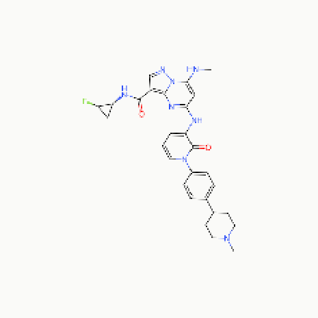 CNc1cc(Nc2cccn(-c3ccc(C4CCN(C)CC4)cc3)c2=O)nc2c(C(=O)N[C@H]3C[C@H]3F)cnn12